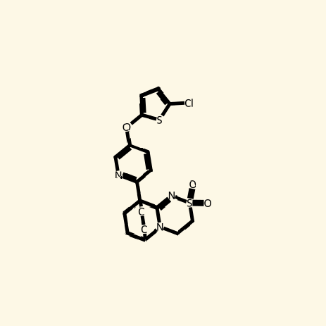 O=S1(=O)CCN2C(=N1)C1(c3ccc(Oc4ccc(Cl)s4)cn3)CCC2CC1